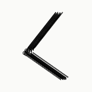 [Na+].[Na+].[Na+].[Na+].[Na+].[Na+].[Na+].[Na+].[Na+].[Na+].[Na+].[Na+].[Na+].[Na+].[Na+].[Na+].[Na+].[Na+].[Na+].[Na+].[Na+].[Na+].[Na+].[Na+].[Na+].[Na+].[Na+].[Na+].[Na+].[Na+].[Na+].[Na+].[Na+].[Na+].[Na+].[Na+].[Na+].[Na+].[Na+].[Na+].[Na+].[Na+].[Na+].[Na+].[Na+].[Na+].[Na+].[Na+].[Na+].[Na+].[Na+].[Na+].[Na+].[Na+].[Na+].[Na+].[Na+].[Na+].[Na+].[Na+].[Na+].[Na+].[Na+].[Na+].[Na+].[Na+].[Na+].[Na+].[Na+].[Na+].[Na+].[Na+].[Na+].[Na+].[Na+].[Na+].[Na+].[Na+].[Na+].[Na+].[Na+].[Na+].[Na+].[Na+].[Na+].[Na+].[Na+].[Na+].[Na+].[Na+].[Na+].[Na+].[Na+].[Na+].[Na+].[Na+].[Na+].[Na+].[Na+].[Na+].[Na+].[O-][Cl+2]([O-])O.[O-][Cl+2]([O-])O